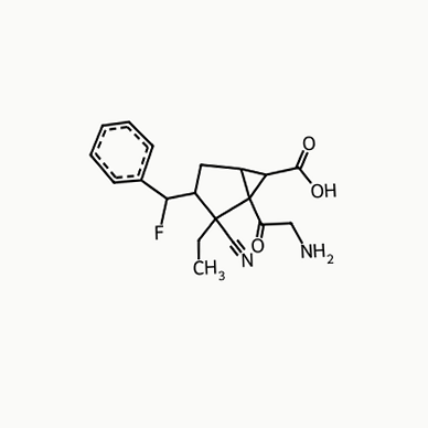 CCC1(C#N)C(C(F)c2ccccc2)CC2C(C(=O)O)C21C(=O)CN